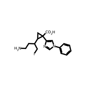 NCCC(CI)C1CC1(C(=O)O)c1cn(-c2ccccc2)cn1